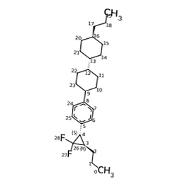 CCC[C@@H]1[C@@H](c2ccc(C3CCC([C@H]4CC[C@H](CCC)CC4)CC3)cc2)C1(F)F